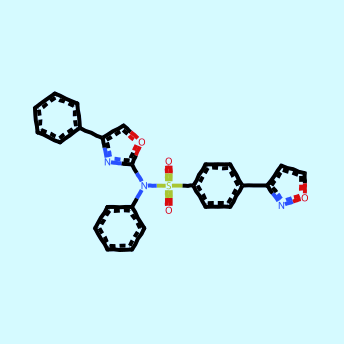 O=S(=O)(c1ccc(-c2ccon2)cc1)N(c1ccccc1)c1nc(-c2ccccc2)co1